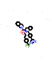 O=C(C(Cc1ccccc1)N(Cc1ccc(-c2cncnc2)cc1)C(=O)C=Cc1ccc(C(F)(F)F)cc1)N1CCc2ccccc2C1